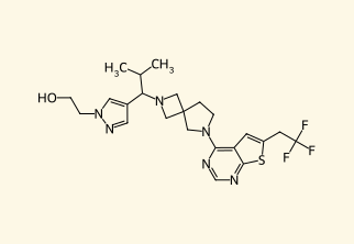 CC(C)C(c1cnn(CCO)c1)N1CC2(CCN(c3ncnc4sc(CC(F)(F)F)cc34)C2)C1